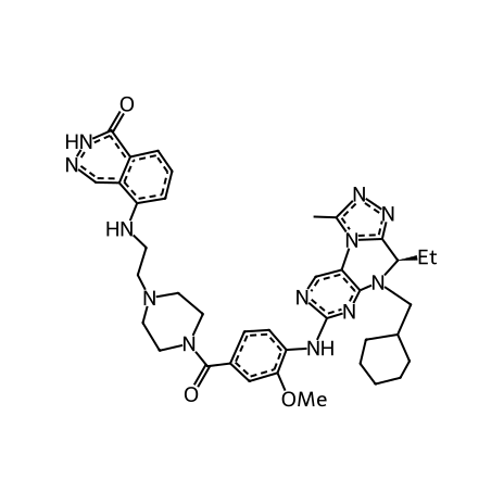 CC[C@@H]1c2nnc(C)n2-c2cnc(Nc3ccc(C(=O)N4CCN(CCNc5cccc6c(=O)[nH]ncc56)CC4)cc3OC)nc2N1CC1CCCCC1